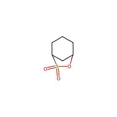 O=S1(=O)OC2CCCC1C2